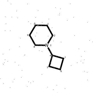 [CH]1CCN(C2CCC2)CC1